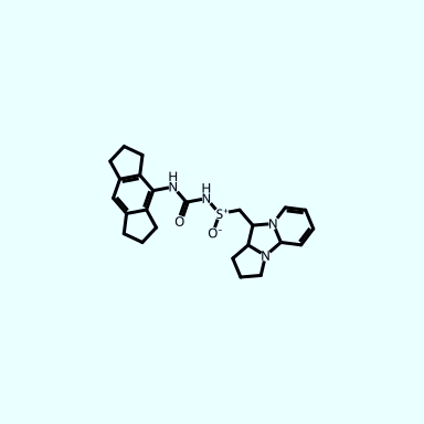 O=C(Nc1c2c(cc3c1CCC3)CCC2)N[S+]([O-])CC1C2CCCN2C2C=CC=CN12